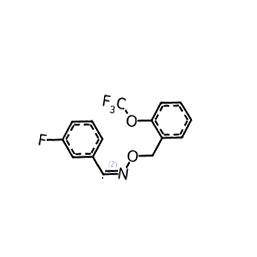 Fc1cccc(/[C]=N\OCc2ccccc2OC(F)(F)F)c1